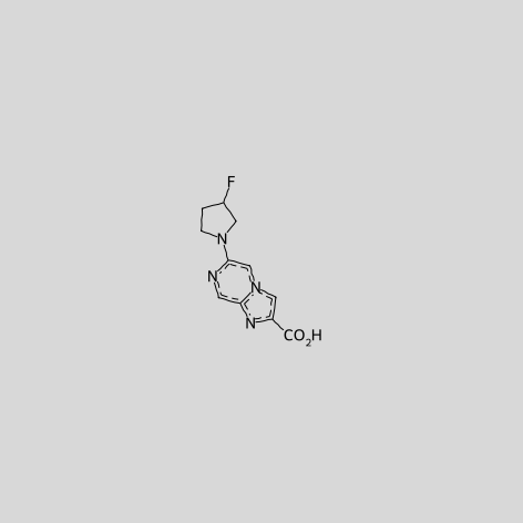 O=C(O)c1cn2cc(N3CCC(F)C3)ncc2n1